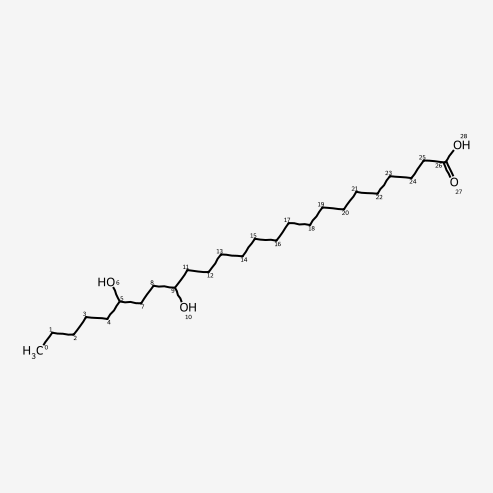 CCCCCC(O)CCC(O)CCCCCCCCCCCCCCCC(=O)O